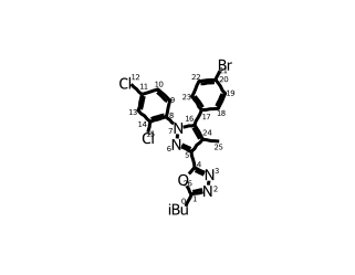 CCC(C)c1nnc(-c2nn(-c3ccc(Cl)cc3Cl)c(-c3ccc(Br)cc3)c2C)o1